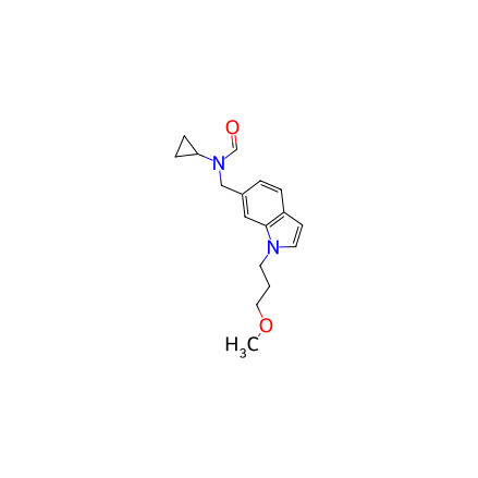 COCCCn1ccc2ccc(CN(C=O)C3CC3)cc21